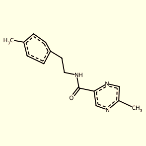 Cc1ccc(CCNC(=O)c2cnc(C)cn2)cc1